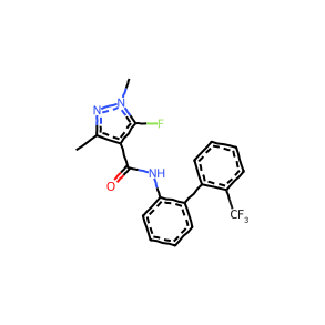 Cc1nn(C)c(F)c1C(=O)Nc1ccccc1-c1ccccc1C(F)(F)F